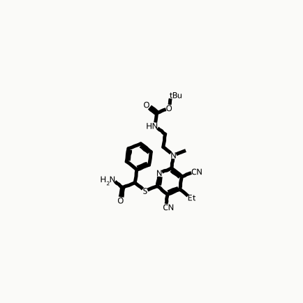 CCc1c(C#N)c(SC(C(N)=O)c2ccccc2)nc(N(C)CCNC(=O)OC(C)(C)C)c1C#N